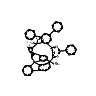 CC(C)(C)c1ccc2c(c1)C13c4ccccc4-c4ccc(cc41)-c1nc(-c4ccccc4)nc(n1)-c1cc(-c4ccccc4)cc(-c4ccccc4)c1C(C)(C)c1ccc-2c3c1